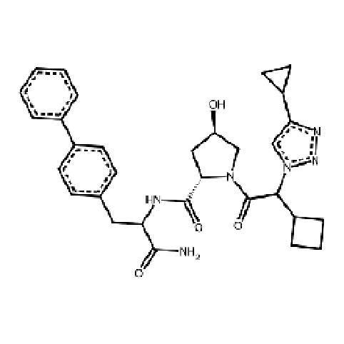 NC(=O)C(Cc1ccc(-c2ccccc2)cc1)NC(=O)[C@@H]1C[C@@H](O)CN1C(=O)C(C1CCC1)n1cc(C2CC2)nn1